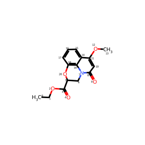 CCOC(=O)C1Cn2c(=O)cc(OC)c3cccc(c32)O1